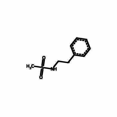 CS(=O)(=O)NC[CH]c1ccccc1